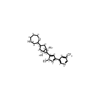 CCn1nc(-c2cncc(C(F)(F)F)c2)cc1C1[C@H]2CC(C3CNCCCO3)C[C@@H]12